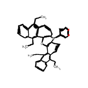 CCc1c2ccccc2c(CC)c2c(Oc3c(Sc4ccccc4)ccc4c(CC)c5ccccc5c(CC)c34)c(Sc3ccccc3)ccc12